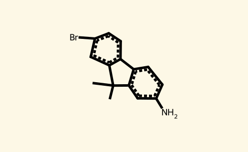 CC1(C)c2cc(N)ccc2-c2ccc(Br)cc21